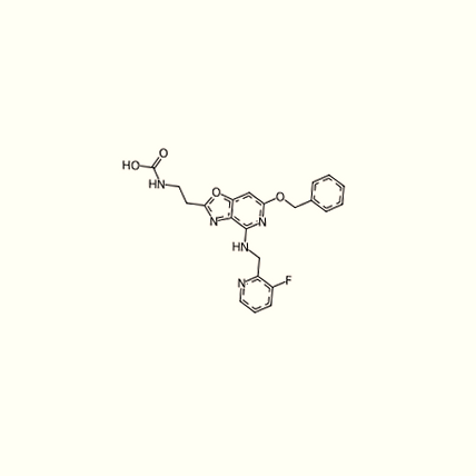 O=C(O)NCCc1nc2c(NCc3ncccc3F)nc(OCc3ccccc3)cc2o1